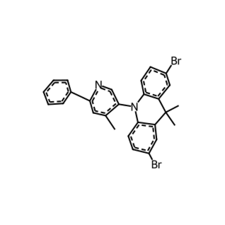 Cc1cc(-c2ccccc2)ncc1N1c2ccc(Br)cc2C(C)(C)c2cc(Br)ccc21